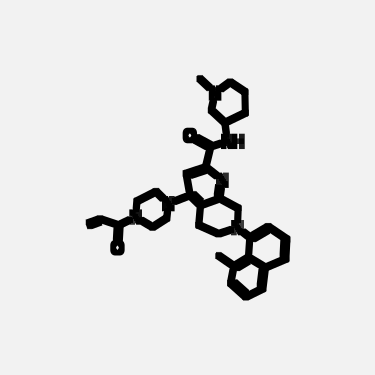 C=CC(=O)N1CCN(c2cc(C(=O)NC3CCCN(C)C3)nc3c2CCN(c2cccc4cccc(C)c24)C3)CC1